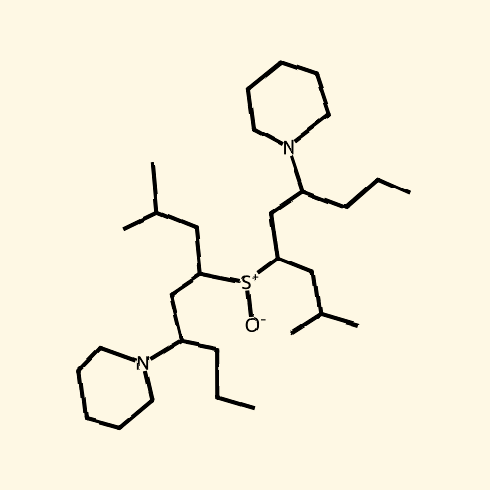 CCCC(CC(CC(C)C)[S+]([O-])C(CC(C)C)CC(CCC)N1CCCCC1)N1CCCCC1